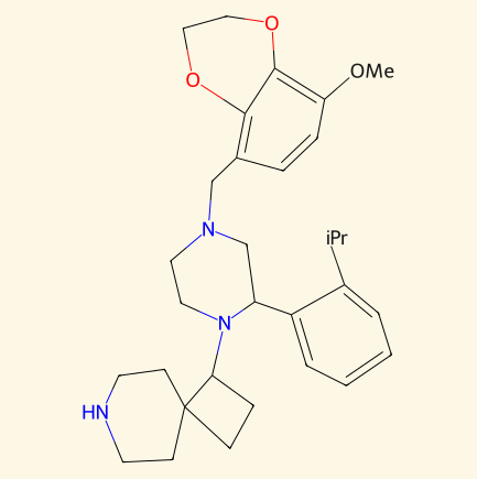 COc1ccc(CN2CCN(C3CCC34CCNCC4)C(c3ccccc3C(C)C)C2)c2c1OCCO2